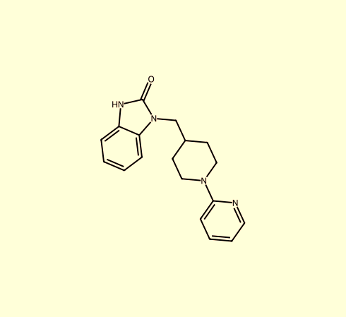 O=c1[nH]c2ccccc2n1CC1CCN(c2ccccn2)CC1